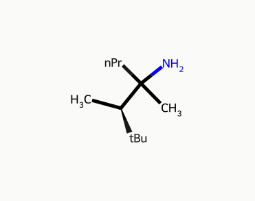 CCCC(C)(N)[C@H](C)C(C)(C)C